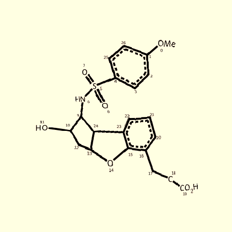 COc1ccc(S(=O)(=O)NC2C(O)CC3Oc4c(CCC(=O)O)cccc4C32)cc1